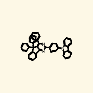 c1ccc(-c2nc(-c3ccc(-n4c5ccccc5c5ccccc54)cc3)nc3c2C(c2ccccc2)(c2ccccc2)c2ccccc2-3)cc1